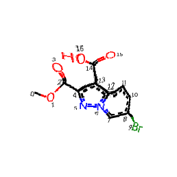 COC(=O)c1nn2cc(Br)ccc2c1C(=O)O